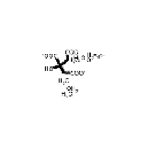 O.O.O.O.O.O.O=C([O-])CC(O)(CC(=O)[O-])C(=O)[O-].[Fe+3]